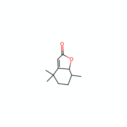 CC1CCC(C)(C)C2=CC(=O)OC21